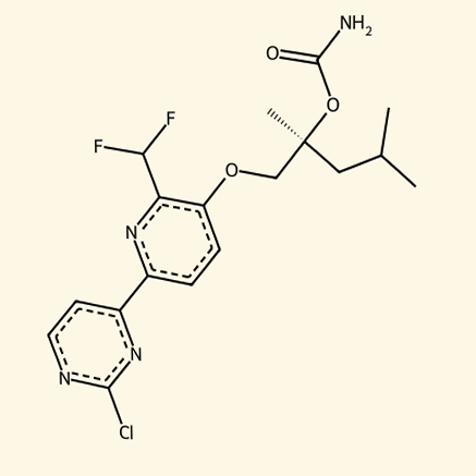 CC(C)C[C@@](C)(COc1ccc(-c2ccnc(Cl)n2)nc1C(F)F)OC(N)=O